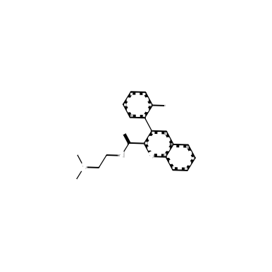 CN(C)CCNC(=O)c1nc2ccccc2cc1-c1ccccc1Br